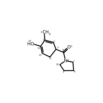 CC1=CC(C(=O)N2CCCC2)CC=C1O